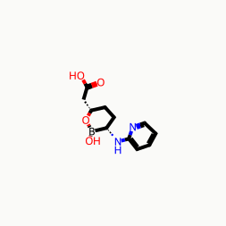 O=C(O)C[C@@H]1CC[C@H](Nc2ccccn2)B(O)O1